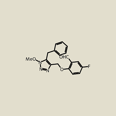 COn1nnc(COc2ccc(F)cc2C=O)c1Cc1ccccc1